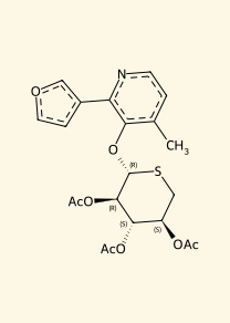 CC(=O)O[C@@H]1[C@@H](OC(C)=O)[C@H](OC(C)=O)CS[C@H]1Oc1c(C)ccnc1-c1ccoc1